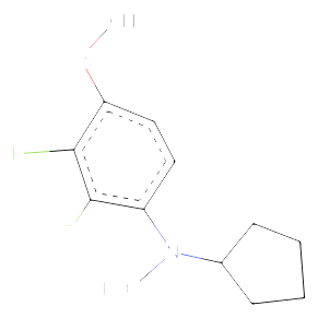 COc1ccc(N(C)C2CCCC2)c(F)c1F